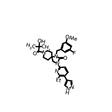 CCc1nc(N2CC3(CCN(C(=O)C(C)(C)O)CC3)N(Cc3cc(F)cc(OC)c3)C2=O)ccc1-c1cn[nH]c1